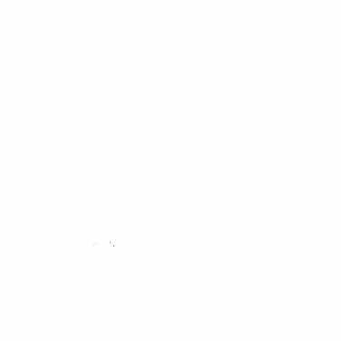 NC1=CCC(c2ccccc2)C=C1